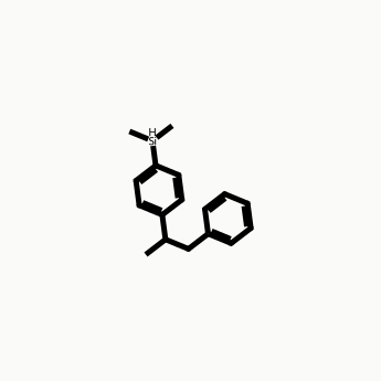 CC(Cc1ccccc1)c1ccc([SiH](C)C)cc1